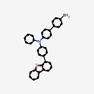 Bc1ccc(-c2ccc(N(c3ccccc3)c3ccc(-c4cccc5c4sc4ccccc45)cc3)cc2)cc1